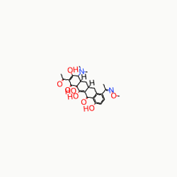 CO/N=C(/C)c1ccc(O)c2c1C[C@H]1C[C@H]3[C@H](N(C)C)C(O)=C(C(C)=O)C(=O)[C@@]3(O)C(O)=C1C2=O